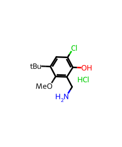 COc1c(C(C)(C)C)cc(Cl)c(O)c1CN.Cl